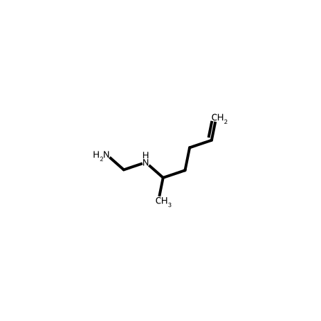 C=CCCC(C)NCN